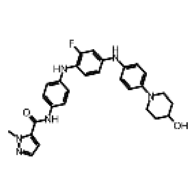 Cn1nccc1C(=O)Nc1ccc(Nc2ccc(Nc3ccc(N4CCC(O)CC4)cc3)cc2F)cc1